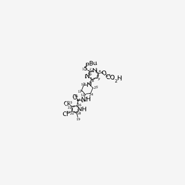 CCCCSc1nc(OC(=O)O)cc(N2CCC(NC(=O)c3[nH]c(C)c(Cl)c3Cl)CC2)n1